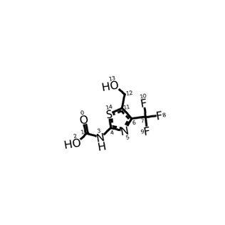 O=C(O)Nc1nc(C(F)(F)F)c(CO)s1